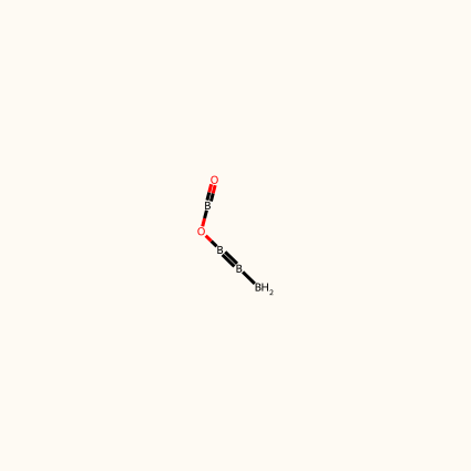 BB=BOB=O